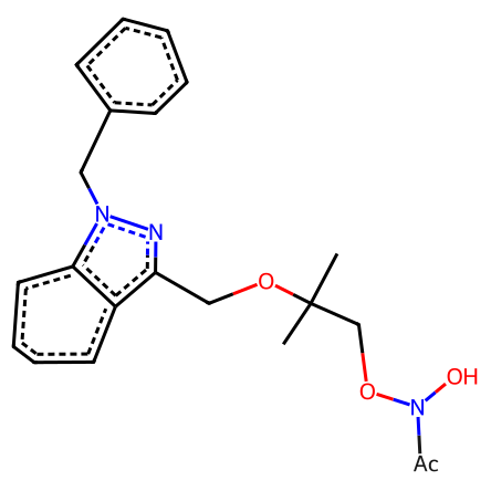 CC(=O)N(O)OCC(C)(C)OCc1nn(Cc2ccccc2)c2ccccc12